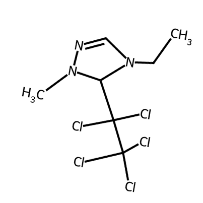 CCN1C=NN(C)C1C(Cl)(Cl)C(Cl)(Cl)Cl